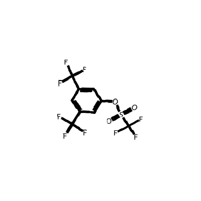 O=S(=O)(Oc1cc(C(F)(F)F)cc(C(F)(F)F)c1)C(F)(F)F